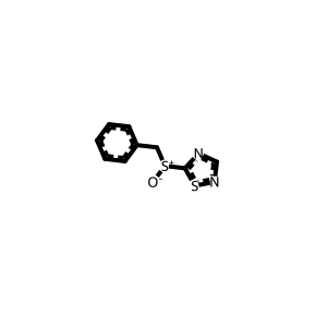 [O-][S+](Cc1ccccc1)c1ncns1